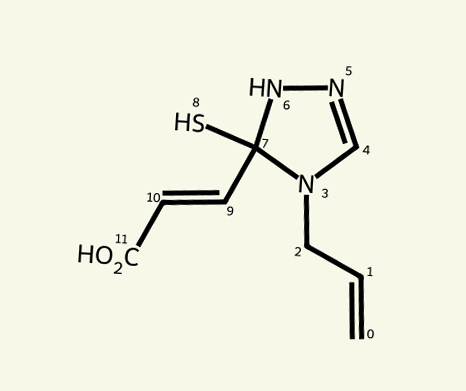 C=CCN1C=NNC1(S)C=CC(=O)O